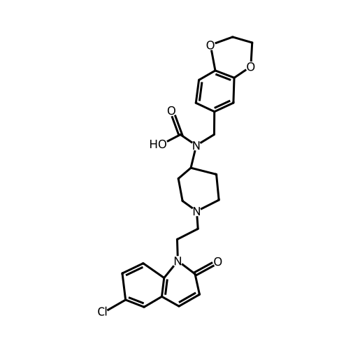 O=C(O)N(Cc1ccc2c(c1)OCCO2)C1CCN(CCn2c(=O)ccc3cc(Cl)ccc32)CC1